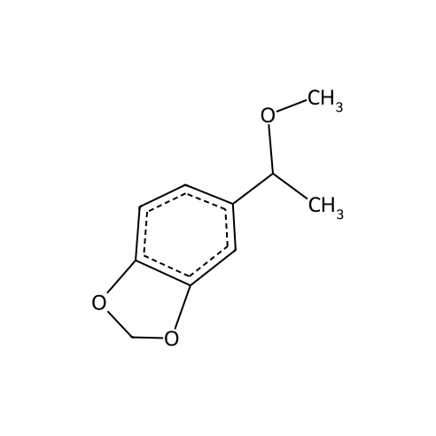 COC(C)c1ccc2c(c1)OCO2